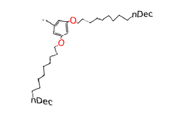 [CH2]c1cc(OCCCCCCCCCCCCCCCCCCC)cc(OCCCCCCCCCCCCCCCCCCC)c1